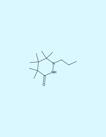 CCCN1NC(=O)C(C)(C)C(C)(C)C1(C)C